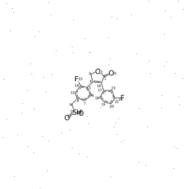 O=C1OCC(c2ccc(C[SH](=O)=O)cc2F)=C1c1cccc(F)c1